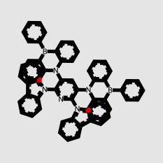 c1ccc(B2c3ccccc3N(c3cc(N4c5ccccc5B(c5ccccc5)c5ccccc54)c(-n4c5ccccc5c5ccccc54)nc3-n3c4ccccc4c4ccccc43)c3ccccc32)cc1